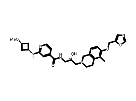 CO[C@H]1C[C@@H](Nc2cc(C(=O)NC[C@H](O)CN3CCc4c(ccc(OCc5cnco5)c4C)C3)ccn2)C1